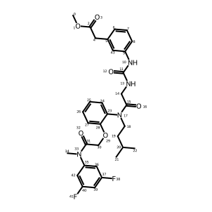 COC(=O)Cc1cccc(NC(=O)NCC(=O)N(CCC(C)C)c2ccccc2OCC(=O)N(C)c2cc(F)cc(F)c2)c1